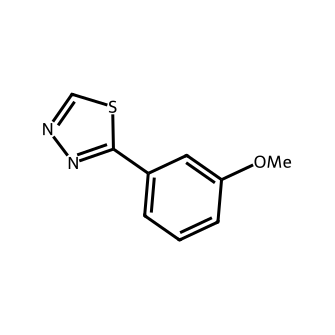 COc1cccc(-c2nncs2)c1